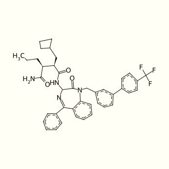 CCC[C@H](C(N)=O)[C@@H](CC1CCC1)C(=O)NC1N=C(c2ccccc2)c2ccccc2N(Cc2cccc(-c3ccc(C(F)(F)F)cc3)c2)C1=O